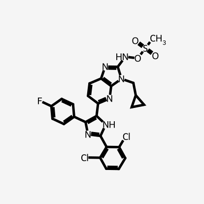 CS(=O)(=O)ONc1nc2ccc(-c3[nH]c(-c4c(Cl)cccc4Cl)nc3-c3ccc(F)cc3)nc2n1CC1CC1